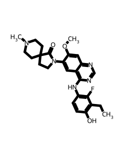 CCc1c(O)ccc(Nc2ncnc3cc(OC)c(N4CCC5(CCN(C)CC5)C4=O)cc23)c1F